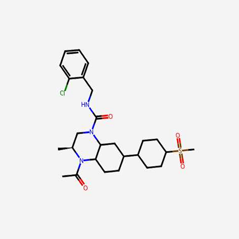 CC(=O)N1C2CCC(C3CCC(S(C)(=O)=O)CC3)CC2N(C(=O)NCc2ccccc2Cl)C[C@@H]1C